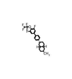 CC1CC[C@@H]2C[C@H](c3ccc(-c4cc(F)c(OC(F)(F)C(F)F)c(F)c4)cc3)CC[C@@H]2C1